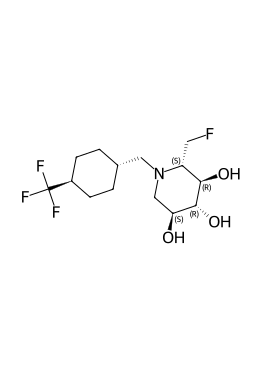 O[C@H]1[C@H](O)[C@@H](O)CN(C[C@H]2CC[C@H](C(F)(F)F)CC2)[C@@H]1CF